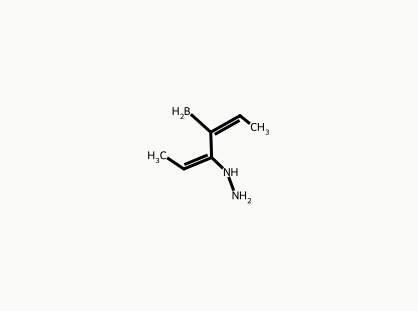 BC(=C/C)/C(=C\C)NN